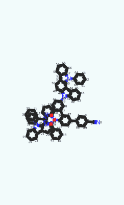 N#Cc1ccc(-c2ccc(-n3c4ccccc4c4c3ccc3c5ccccc5n(-c5ccccc5)c34)c(-c3cc(-n4c5ccccc5c5c4ccc4c6ccccc6n(-c6ccccc6)c45)ccc3-c3nc(-c4ccccc4)nc(-c4ccccc4)n3)c2)cc1